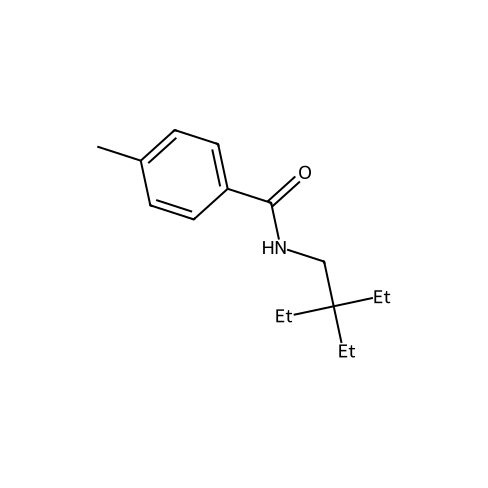 CCC(CC)(CC)CNC(=O)c1ccc(C)cc1